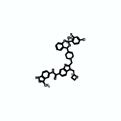 Cc1n[nH]c2ccc(NC(=O)c3ccc4c(c3)nc(CN3CC=C(C5O[C@](C)(c6ccc(Cl)cc6F)Oc6ccccc65)CC3)n4C[C@@H]3CCO3)cc12